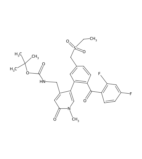 CCS(=O)(=O)Cc1ccc(C(=O)c2ccc(F)cc2F)c(-c2cn(C)c(=O)cc2CNC(=O)OC(C)(C)C)c1